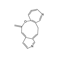 C=C1/C=c2/ccnc/c2=C/CC2=C(C=C=CN=C2)O1